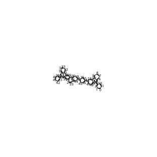 c1ccc(-n2c3ccccc3c3cc(-c4ccc(-c5ccc6c(ccc7cc8c(cc76)c6ccccc6n8-c6ccccc6)c5)cc4)ccc32)cc1